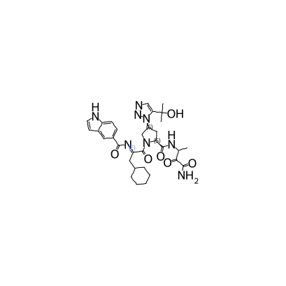 CC(NC(=O)[C@@H]1C[C@H](n2nncc2C(C)(C)O)CN1C(=O)/C(CC1CCCCC1)=N/C(=O)c1ccc2[nH]ccc2c1)C(=O)C(N)=O